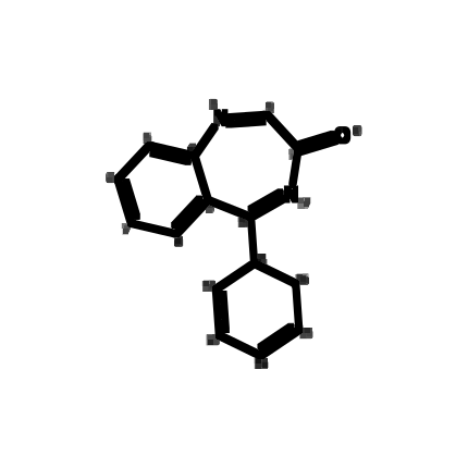 O=c1cnc2ccccc2c(C2C=CC=CC2)n1